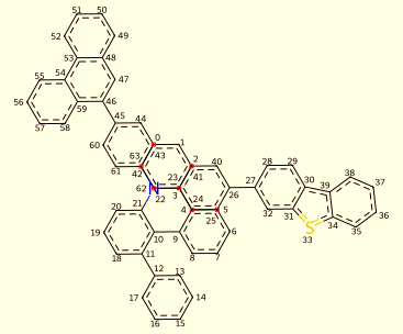 c1ccc(-c2ccccc2-c2c(-c3ccccc3)cccc2N(c2ccc(-c3ccc4c(c3)sc3ccccc34)cc2)c2ccc(-c3cc4ccccc4c4ccccc34)cc2)cc1